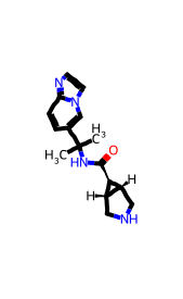 CC(C)(NC(=O)[C@H]1[C@@H]2CNC[C@@H]21)c1ccc2nccn2c1